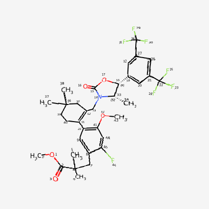 COC(=O)C(C)(C)Cc1cc(C2=C(CN3C(=O)O[C@H](c4cc(C(F)(F)F)cc(C(F)(F)F)c4)[C@@H]3C)CC(C)(C)CC2)c(OC)cc1F